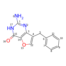 Nc1nc2c(Cc3ccccc3)coc2c(=O)[nH]1